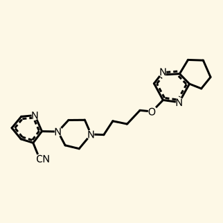 N#Cc1cccnc1N1CCN(CCCCOc2cnc3c(n2)CCCC3)CC1